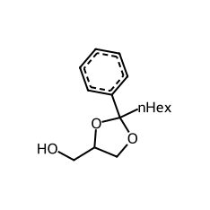 CCCCCCC1(c2ccccc2)OCC(CO)O1